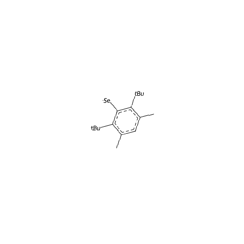 Cc1cc(C)c(C(C)(C)C)c([Se])c1C(C)(C)C